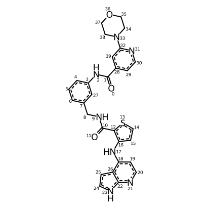 O=C(Nc1cccc(CNC(=O)c2sccc2Nc2ccnc3[nH]ccc23)c1)c1ccnc(N2CCOCC2)c1